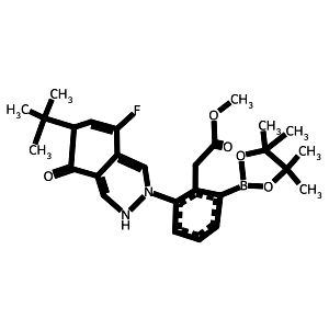 COC(=O)Cc1c(B2OC(C)(C)C(C)(C)O2)cccc1N1C=C2C(F)=CC(C(C)(C)C)C(=O)C2=CN1